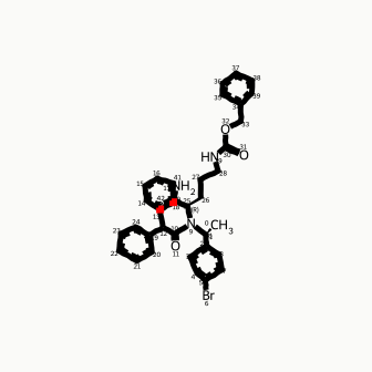 C[C@H](c1ccc(Br)cc1)N(C(=O)C(c1ccccc1)c1ccccc1)[C@H](CCCNC(=O)OCc1ccccc1)C(N)=O